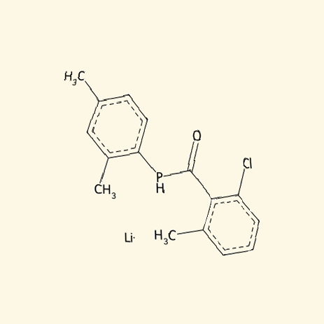 Cc1ccc(PC(=O)c2c(C)cccc2Cl)c(C)c1.[Li]